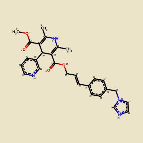 COC(=O)C1=C(C)NC(C)=C(C(=O)OC/C=C/c2ccc(Cn3ccnc3)cc2)C1c1cccnc1